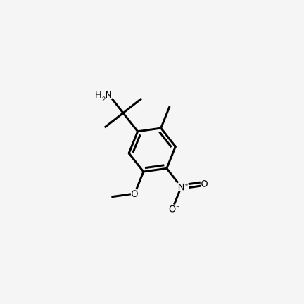 COc1cc(C(C)(C)N)c(C)cc1[N+](=O)[O-]